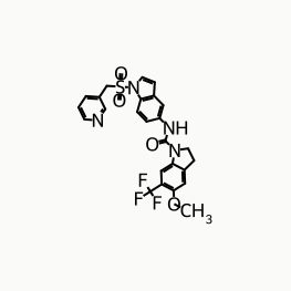 COc1cc2c(cc1C(F)(F)F)N(C(=O)Nc1ccc3c(ccn3S(=O)(=O)Cc3cccnc3)c1)CC2